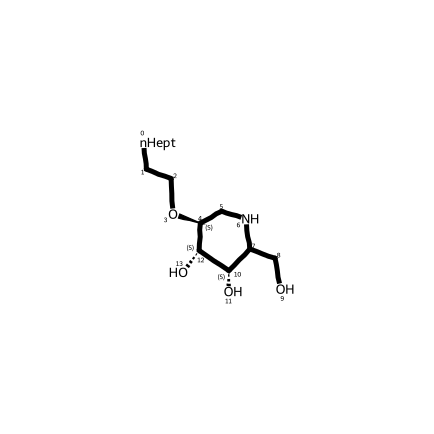 CCCCCCCCCO[C@H]1CNC(CO)[C@H](O)[C@@H]1O